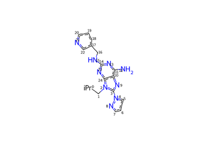 CC(C)Cn1c(-n2cccn2)nc2c(N)nc(NCc3cccnc3)nc21